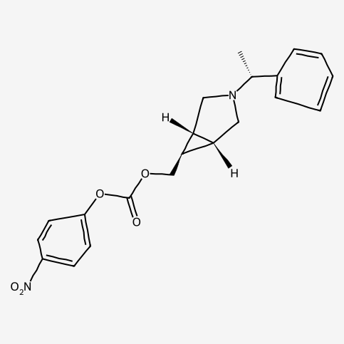 C[C@H](c1ccccc1)N1C[C@@H]2[C@@H](COC(=O)Oc3ccc([N+](=O)[O-])cc3)[C@@H]2C1